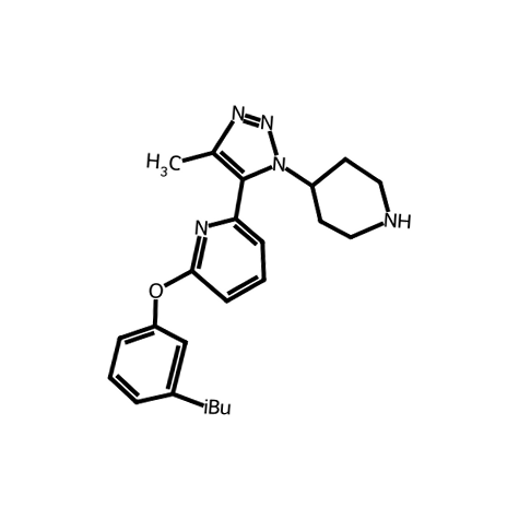 CCC(C)c1cccc(Oc2cccc(-c3c(C)nnn3C3CCNCC3)n2)c1